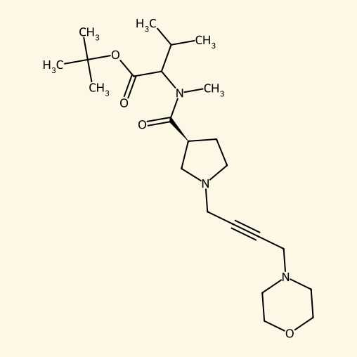 CC(C)C(C(=O)OC(C)(C)C)N(C)C(=O)[C@H]1CCN(CC#CCN2CCOCC2)C1